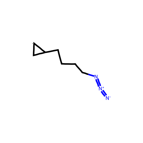 [N-]=[N+]=NCCCCC1[CH]C1